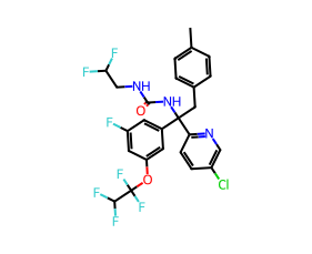 Cc1ccc(CC(NC(=O)NCC(F)F)(c2cc(F)cc(OC(F)(F)C(F)F)c2)c2ccc(Cl)cn2)cc1